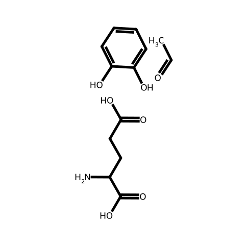 CC=O.NC(CCC(=O)O)C(=O)O.Oc1ccccc1O